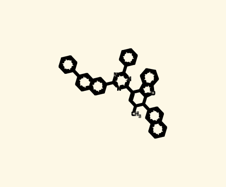 CC1C=C(c2nc(-c3ccccc3)nc(-c3ccc4ccc(-c5ccccc5)cc4c3)n2)c2c(oc3ccccc23)C1c1ccc2ccccc2c1